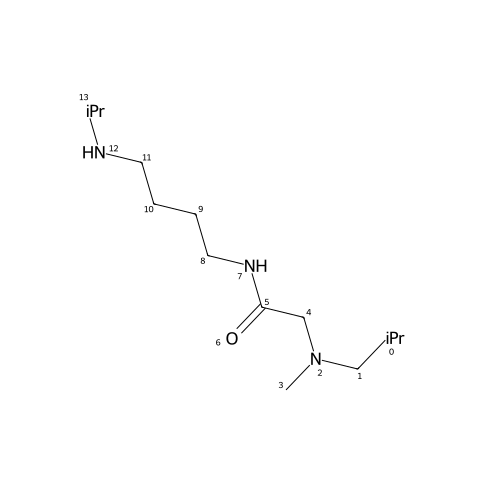 CC(C)CN(C)CC(=O)NCCCCNC(C)C